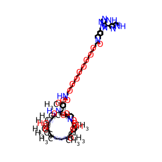 CO[C@H]1C[C@@H]2CC[C@@H](C)[C@@](O)(O2)C(=O)C(=O)N2CCCC[C@H]2C(=O)O[C@H]([C@H](N)C[C@@H]2CC[C@@H](OC(=O)NCCOCCOCCOCCOCCOCCOCCOCCOCCC(=O)N3CCc4cc(Cn5nc(-c6cnc7[nH]ccc7c6)c6c(N)ncnc65)ccc4C3)[C@H](OC)C2)CC(=O)[C@H](C)/C=C(\C)[C@@H](O)[C@@H](OC)C(=O)[C@H](C)C[C@H](C)/C=C/C=C/C=C/1C